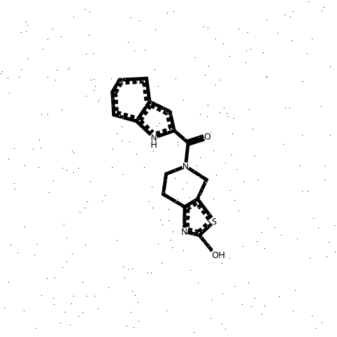 O=C(c1cc2ccccc2[nH]1)N1CCc2nc(O)sc2C1